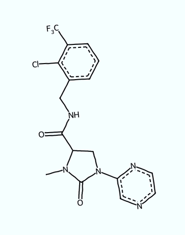 CN1C(=O)N(c2cnccn2)CC1C(=O)NCc1cccc(C(F)(F)F)c1Cl